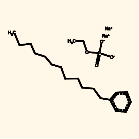 CCCCCCCCCCCCc1ccccc1.CCOP(=O)([O-])[O-].[Na+].[Na+]